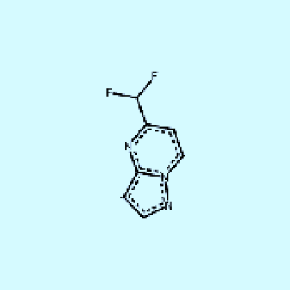 FC(F)c1ccn2nc[c]c2n1